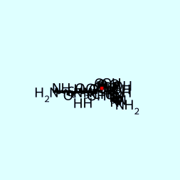 CC(C)(COP(=O)(O)OP(=O)(O)OC[C@H]1O[C@@H](n2cnc3c(N)ncnc32)[C@H](O)[C@@H]1OP(=O)(O)O)C(O)C(=O)NCCC(=O)NCCSC(=O)CCCCC(N)N